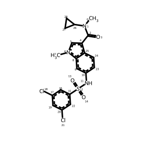 CN(C(=O)c1cn(C)c2cc(NS(=O)(=O)c3cc(Cl)cc(Cl)c3)ccc12)C1CC1